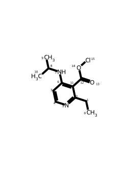 CCc1nccc(NC(C)C)c1C(=O)OCl